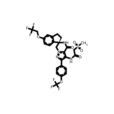 CS(=O)(=O)CC(=O)Nc1c(-c2ccc(OC(F)(F)F)cc2)nn2c1C(=O)N[C@]1(CCc3cc(OCC(F)(F)F)ccc31)C2